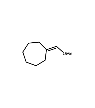 COC=C1CCCCCC1